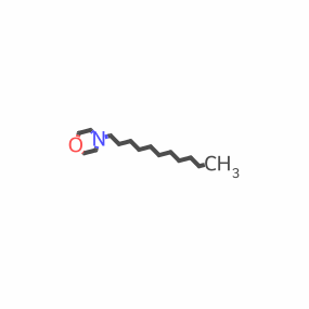 CCCCCCCCCCCN1CCOCC1